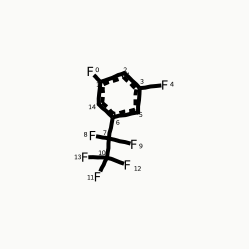 Fc1[c]c(F)cc(C(F)(F)C(F)(F)F)c1